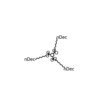 CCCCCCCCCCCCCCCCCCOC(=O)C1CC(C(=O)OCCCCCCCCCCCCCCCCCC)CC(C(=O)OCCCCCCCCCCCCCCCCCC)C1